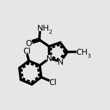 Cc1cc(C(N)=O)n(-c2c(Cl)cccc2Cl)n1